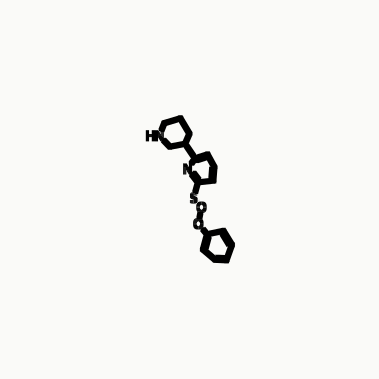 c1ccc(OOSc2cccc(C3CCCNC3)n2)cc1